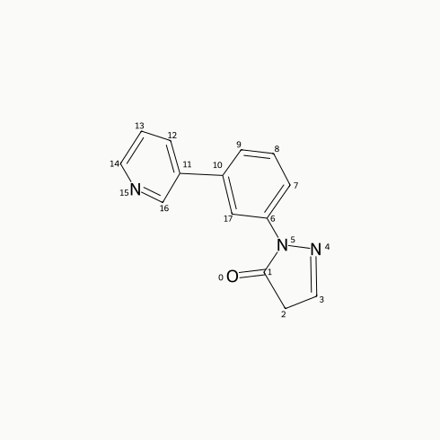 O=C1CC=NN1c1cccc(-c2cccnc2)c1